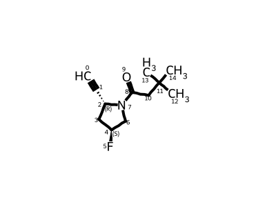 C#C[C@H]1C[C@H](F)CN1C(=O)CC(C)(C)C